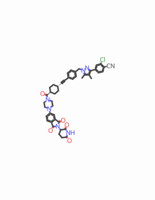 Cc1c(-c2ccc(C#N)c(Cl)c2)nn(Cc2ccc(C#C[C@H]3CC[C@H](C(=O)N4CCN(c5ccc6c(c5)C(=O)N(C5CCC(=O)NC5=O)C6=O)CC4)CC3)cc2)c1C